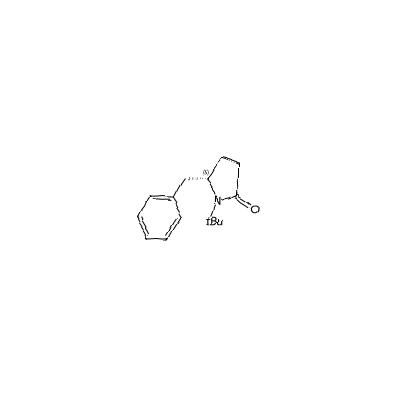 CC(C)(C)N1C(=O)CC[C@H]1Cc1ccccc1